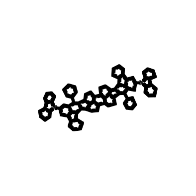 c1ccc(-c2c3cc(-n4c5ccccc5c5ccccc54)cc4c5ccccc5c(c34)c3c4ccc5c6ccc7c8c(-c9ccccc9)c9cc(-n%10c%11ccccc%11c%11ccccc%11%10)cc%10c%11ccccc%11c(c9%10)c8c8ccc(c9ccc(c23)c4c95)c6c78)cc1